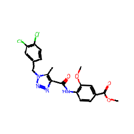 COC(=O)c1ccc(NC(=O)c2nnn(Cc3ccc(Cl)c(Cl)c3)c2C)c(OC)c1